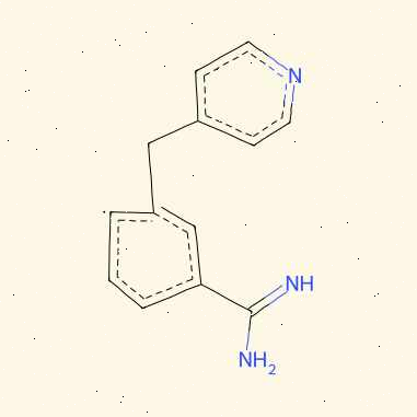 N=C(N)c1cc[c]c(Cc2ccncc2)c1